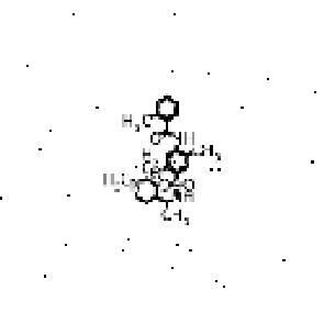 COc1cc(NC(=O)c2ccccc2C)c(C)cc1S(=O)(=O)NC(C)C1CCN(C)CC1